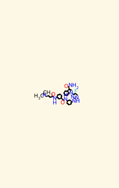 CN(C)CC=CC(=O)Nc1cccc(C(=O)Nc2cccc(Nc3ncc(F)c(-n4cc(C(N)=O)c5ccccc54)n3)c2)c1